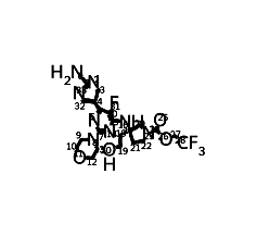 Nc1ncc(-c2nc(N3CCOCC3)nc(N[C@@]3(CCO)CCN(C(=O)OCC(F)(F)F)C3)c2F)cn1